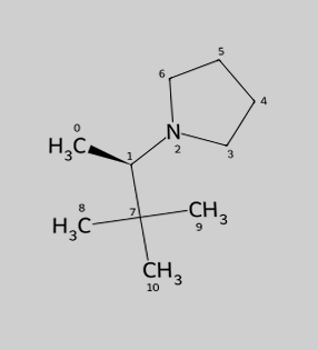 C[C@@H](N1CCCC1)C(C)(C)C